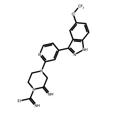 CCC(=N)N1CCN(c2cc(-c3n[nH]c4ccc(OC(F)(F)F)cc34)ccn2)CC1=N